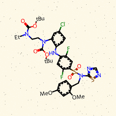 CCN(CCN(C(=O)OC(C)(C)C)c1cc(Cl)ccc1Nc1cc(F)c(S(=O)(=O)N(Cc2ccc(OC)cc2OC)c2ncns2)cc1F)C(=O)OC(C)(C)C